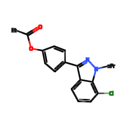 CCCn1nc(-c2ccc(OC(=O)CC)cc2)c2cccc(Cl)c21